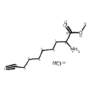 C#CCCCCCCC(N)C(=O)OC.Cl